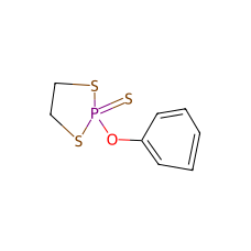 S=P1(Oc2ccccc2)SCCS1